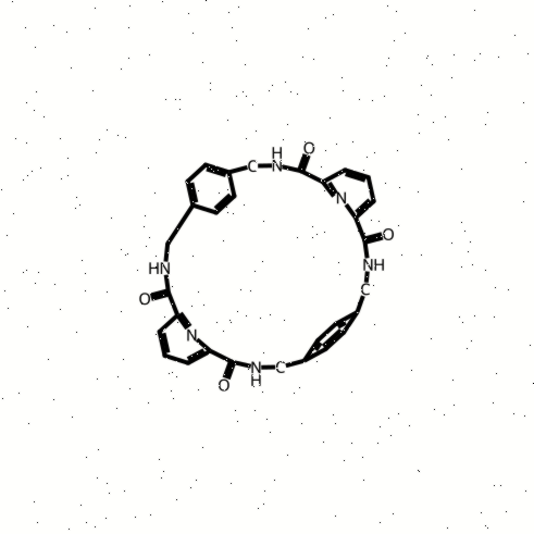 O=C1NCc2ccc(cc2)CNC(=O)c2cccc(n2)C(=O)NCc2ccc(cc2)CNC(=O)c2cccc1n2